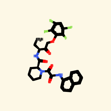 O=C(O)C[C@H](NC(=O)[C@@H]1CCCCN1C(=O)C(=O)Nc1cccc2ccccc12)C(=O)COc1c(F)c(F)cc(F)c1F